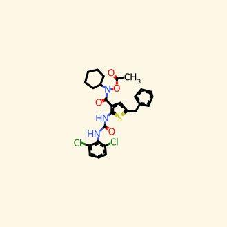 CC(=O)ON(C(=O)c1cc(Cc2ccccc2)sc1NC(=O)Nc1c(Cl)cccc1Cl)C1CCCCC1